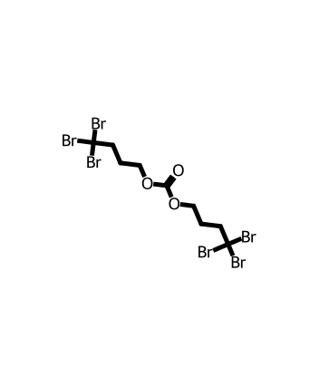 O=C(OCCCC(Br)(Br)Br)OCCCC(Br)(Br)Br